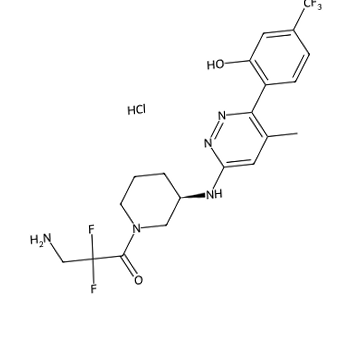 Cc1cc(N[C@@H]2CCCN(C(=O)C(F)(F)CN)C2)nnc1-c1ccc(C(F)(F)F)cc1O.Cl